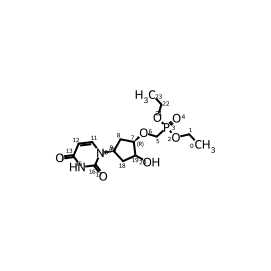 CCOP(=O)(CO[C@@H]1C[C@H](n2ccc(=O)[nH]c2=O)CC1O)OCC